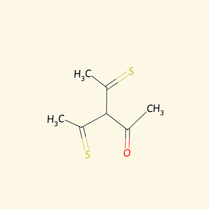 CC(=O)C(C(C)=S)C(C)=S